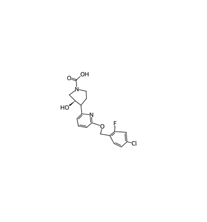 O=C(O)N1CCC(c2cccc(OCc3ccc(Cl)cc3F)n2)[C@@H](O)C1